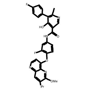 COc1nc2c(Oc3ccc(NC(=O)c4cnc(C)c(-c5ccc(F)cc5)c4O)cc3F)ccnc2cc1C(C)C